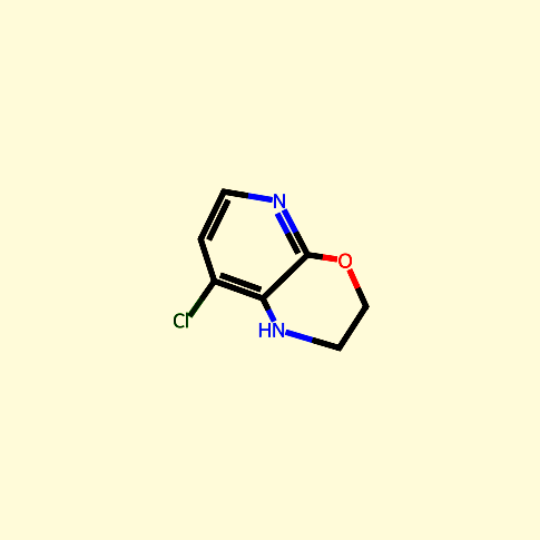 Clc1ccnc2c1NCCO2